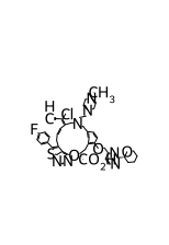 C#C/C(Cl)=C1\C=C/Cc2c(-c3ccc(F)cc3)sc3ncnc(c23)O[C@@H](C(=O)O)Cc2cc(ccc2OCc2ccnc([C@@H]3CCCCO3)n2)CN(CCN2CCN(C)CC2)C1